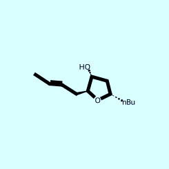 C/C=C/C[C@@H]1O[C@@H](CCCC)C[C@H]1O